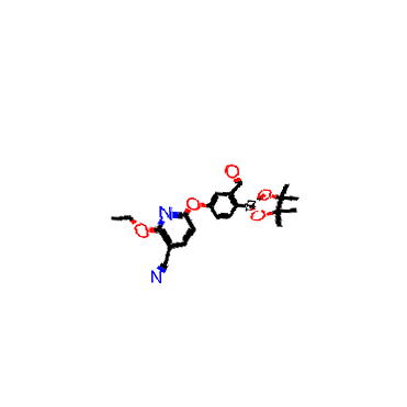 CCOc1nc(Oc2ccc(B3OC(C)(C)C(C)(C)O3)c(C=O)c2)ccc1C#N